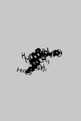 CC1(C)C(c2ccc(C(=O)O)cc2)=CCC2(C)C1CCC1(C)C2CCC2C3CCCC3(NC(=O)OCCCN3CCS(=O)(=O)CC3)CC[C@]21C